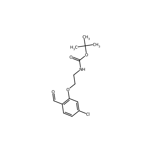 CC(C)(C)OC(=O)NCCOc1cc(Cl)ccc1C=O